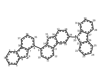 c1ccc2c(c1)sc1c(-c3cccc4c3sc3ccc(-n5c6ccccc6c6cccnc65)cc34)cccc12